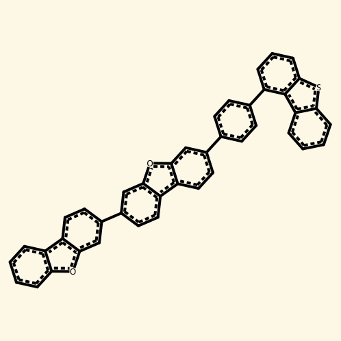 c1ccc2c(c1)oc1cc(-c3ccc4c(c3)oc3cc(-c5ccc(-c6cccc7sc8ccccc8c67)cc5)ccc34)ccc12